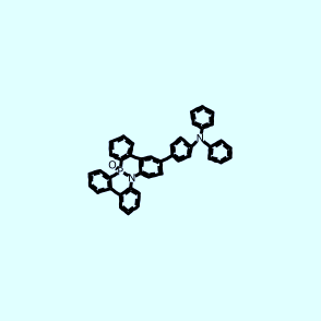 O=P12c3ccccc3-c3ccccc3N1c1ccc(-c3ccc(N(c4ccccc4)c4ccccc4)cc3)cc1-c1ccccc12